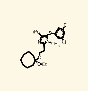 CCOC1(OCCc2nc(C(C)C)c(Sc3cc(Cl)cc(Cl)c3)n2C)CCCCCCC1